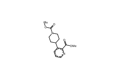 COC(=O)c1ncccc1C1CCN(C(=O)OC(C)(C)C)CC1